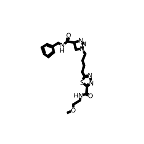 COCCNC(=O)c1nnc(CCCCN2CC(C(=O)NCc3ccccc3)N=N2)s1